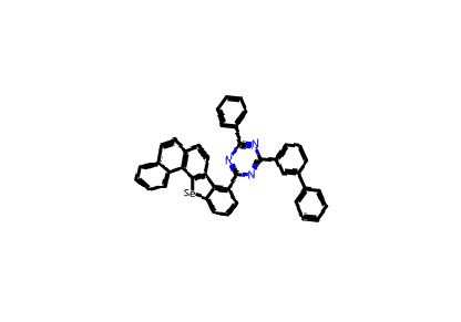 c1ccc(-c2cccc(-c3nc(-c4ccccc4)nc(-c4cccc5[se]c6c(ccc7ccc8ccccc8c76)c45)n3)c2)cc1